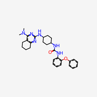 CN(C)c1nc(NC2CCC(NC(=O)Nc3ccccc3Oc3ccccc3)CC2)nc2c1CCCC2